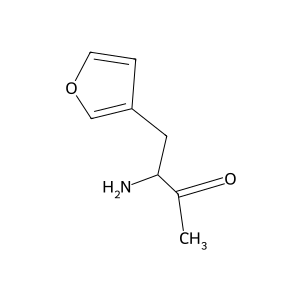 CC(=O)C(N)Cc1ccoc1